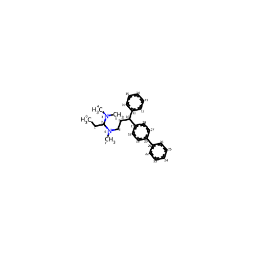 CCC(N(C)C)N(C)CCC(c1ccccc1)c1ccc(-c2ccccc2)cc1